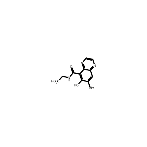 CCCc1cc2nccnc2c(C(=O)NCC(=O)O)c1O